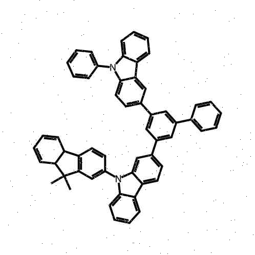 CC1(C)c2cc(-n3c4ccccc4c4ccc(-c5cc(-c6ccccc6)cc(-c6ccc7c(c6)c6ccccc6n7-c6ccccc6)c5)cc43)ccc2C2C=CC=CC21